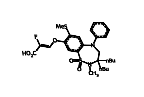 CCCCC1(CCCC)CN(c2ccccc2)c2cc(SC)c(OC=C(F)C(=O)O)cc2S(=O)(=O)N1C